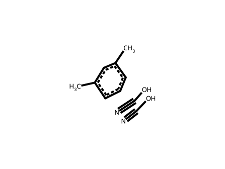 Cc1cccc(C)c1.N#CO.N#CO